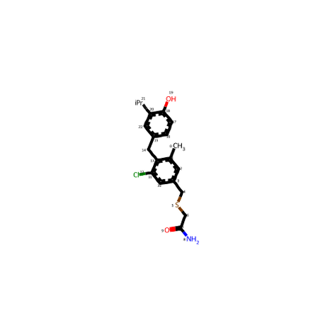 Cc1cc(CSCC(N)=O)cc(Cl)c1Cc1ccc(O)c(C(C)C)c1